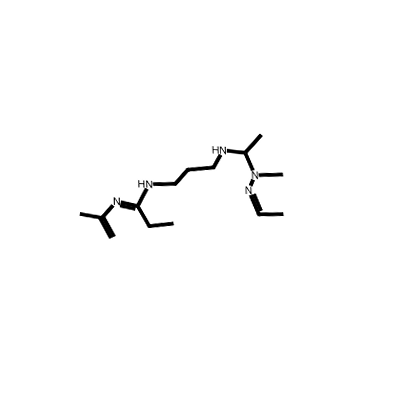 C=C(C)/N=C(\CC)NCCCNC(C)N(C)/N=C\C